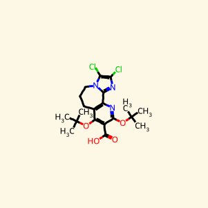 CC(C)(C)Oc1nc2c(c(OC(C)(C)C)c1C(=O)O)CCCn1c-2nc(Cl)c1Cl